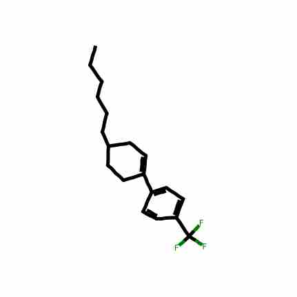 CCCCCCC1CC=C(c2ccc(C(F)(F)F)cc2)CC1